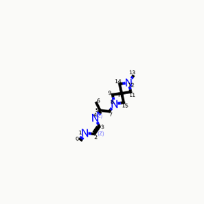 C=N/C=C\N=C(\C)CN1CC2(CN(C)C2)C1